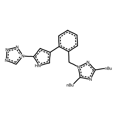 CCCCc1nc(CCCC)n(Cc2ccccc2-c2c[nH]c(-n3cnnn3)c2)n1